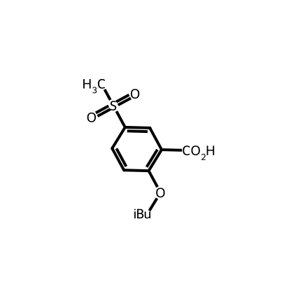 CCC(C)Oc1ccc(S(C)(=O)=O)cc1C(=O)O